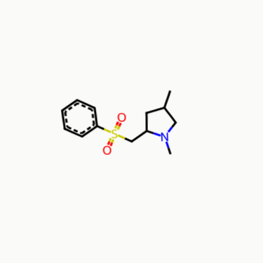 CC1CC(CS(=O)(=O)c2ccccc2)N(C)C1